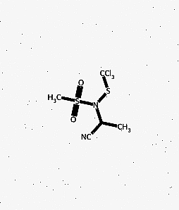 CC(C#N)N(SC(Cl)(Cl)Cl)S(C)(=O)=O